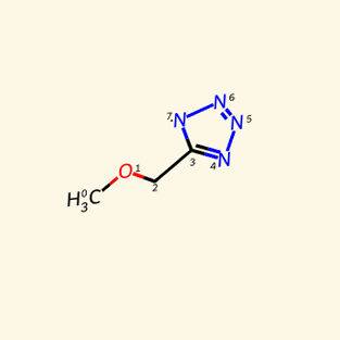 COCC1=NN=N[N]1